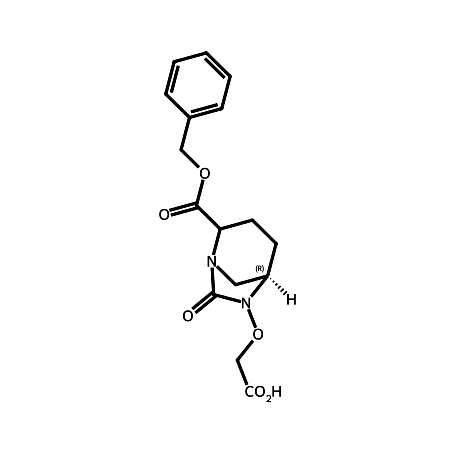 O=C(O)CON1C(=O)N2C[C@H]1CCC2C(=O)OCc1ccccc1